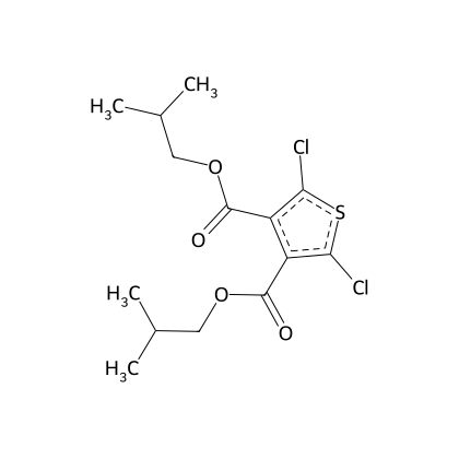 CC(C)COC(=O)c1c(Cl)sc(Cl)c1C(=O)OCC(C)C